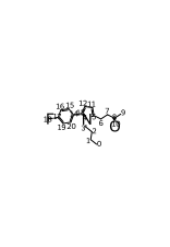 CCCCn1c(CCC(C)=O)ccc1-c1ccc(F)cc1